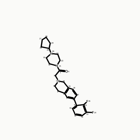 O=C(CN1CCc2cc(-c3cccc(F)c3F)ccc2C1)N1CCN(C2CCCC2)CC1